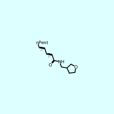 CCCCC/C=C/C=C/C(=O)NCC1CCOC1